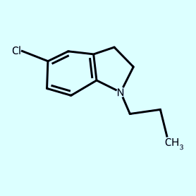 CCCN1CCc2cc(Cl)ccc21